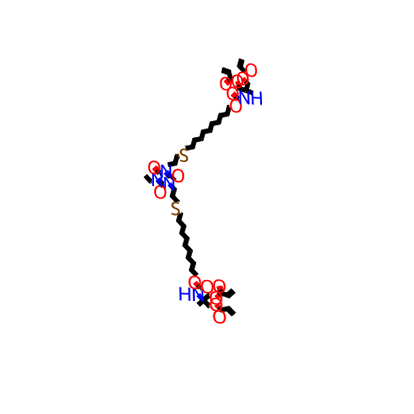 C=CC(=O)OCC(C)(COC(=O)C=C)NC(=O)OCCCCCCCCCCCSCCCn1c(=O)n(CC)c(=O)n(CCCSCCCCCCCCCCCOC(=O)NC(C)(COC(=O)C=C)COC(=O)C=C)c1=O